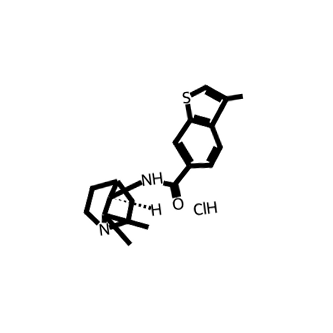 Cc1csc2cc(C(=O)N[C@@H]3C4CCN(CC4)C3(C)C)ccc12.Cl